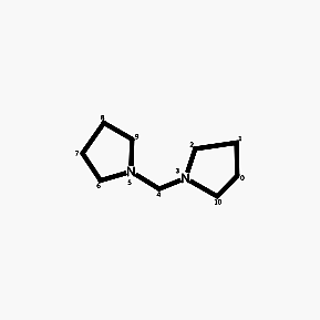 C1CCN(CN2CCCC2)C1